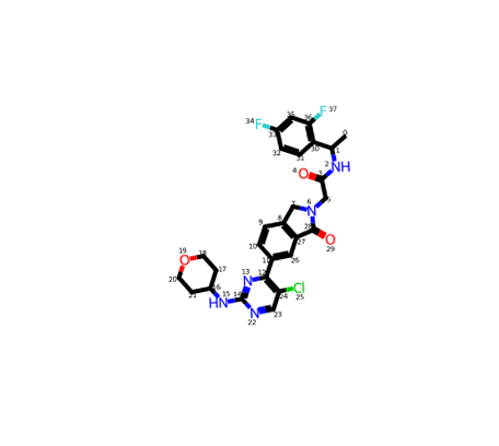 CC(NC(=O)CN1Cc2ccc(-c3nc(NC4CCOCC4)ncc3Cl)cc2C1=O)c1ccc(F)cc1F